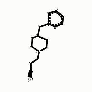 C#CCCN1CCC(Cc2ccccc2)CC1